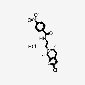 C[C@@H]1Cc2cc(Cl)sc2[C@H](C)N1CCNC(=O)c1ccc([N+](=O)[O-])cc1.Cl